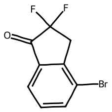 O=C1c2cccc(Br)c2CC1(F)F